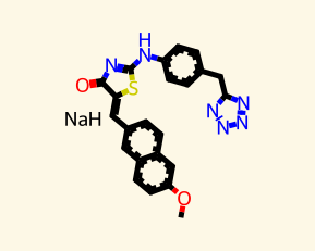 COc1ccc2cc(/C=C3\SC(Nc4ccc(CC5N=NN=N5)cc4)=NC3=O)ccc2c1.[NaH]